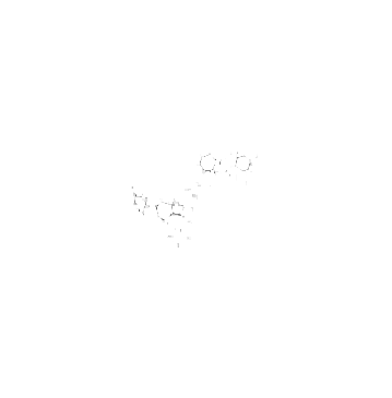 CC1(c2ccc(Cl)cc2F)Oc2cccc(C3CCN(Cc4nc5cc(-c6noc(=O)[nH]6)cnc5n4C[C@@H]4CCOC4)CC3)c2O1